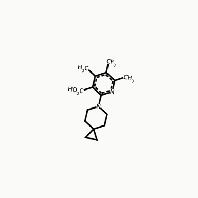 Cc1nc(N2CCC3(CC2)CC3)c(C(=O)O)c(C)c1C(F)(F)F